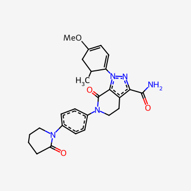 COC1=CC=C(n2nc(C(N)=O)c3c2C(=O)N(c2ccc(N4CCCCC4=O)cc2)CC3)C(C)C1